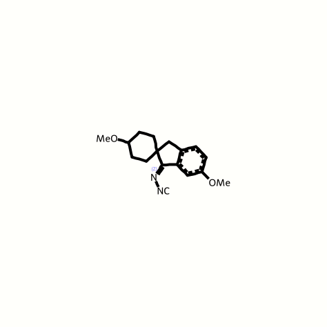 [C-]#[N+]/N=C1\c2cc(OC)ccc2CC12CCC(OC)CC2